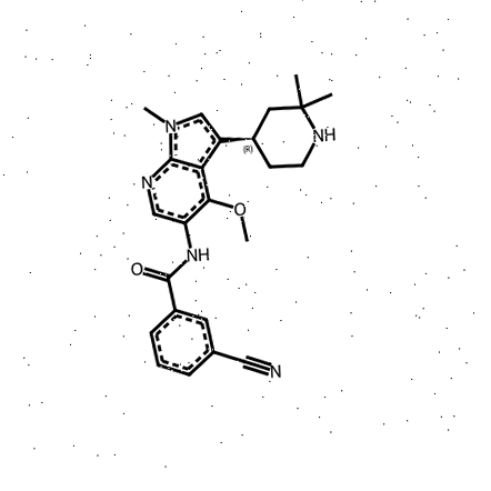 COc1c(NC(=O)c2cccc(C#N)c2)cnc2c1c([C@@H]1CCNC(C)(C)C1)cn2C